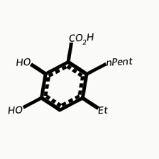 CCCCCc1c(CC)cc(O)c(O)c1C(=O)O